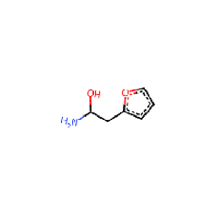 NC(O)Cc1ccco1